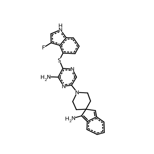 NC1=c2ccccc2=CC12CCN(c1cnc(Sc3cccc4[nH]cc(F)c34)c(N)n1)CC2